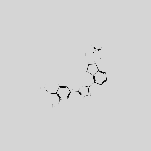 C=S(C)(=O)N[C@H]1CCc2c(-c3nnc(-c4ccc(OC(C)C)c(C#N)c4)s3)cccc21